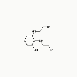 Oc1cccc(NCCBr)c1NCCBr